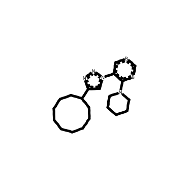 b1cbc(N2CCCCC2)c(-n2cc(C3CCCCCCCCC3)nn2)c1